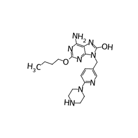 CCCCOc1nc(N)c2nc(O)n(Cc3ccc(N4CCNCC4)nc3)c2n1